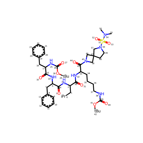 CC(C)CC(NC(=O)C(Cc1ccccc1)NC(=O)C(Cc1ccccc1)NC(=O)OC(C)(C)C)C(=O)NC(CCCCNC(=O)OC(C)(C)C)C(=O)N1CC2(CCN(S(=O)(=O)N(C)C)C2)C1